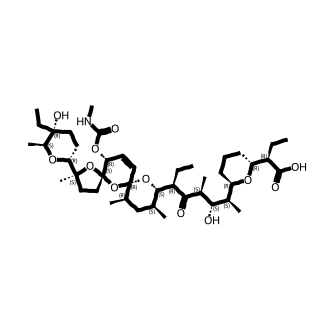 CC[C@@H](C(=O)[C@@H](C)[C@@H](O)[C@H](C)[C@H]1CCC[C@H]([C@@H](CC)C(=O)O)O1)[C@H]1O[C@]2(C=C[C@@H](OC(=O)NC)[C@]3(CC[C@@](C)([C@H]4CC[C@](O)(CC)[C@H](C)O4)O3)O2)[C@H](C)C[C@@H]1C